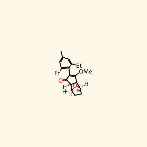 CCc1cc(C)cc(CC)c1C1=C(OC)C2[C@H]3CC[C@H](O3)[C@H]2C1=O